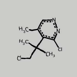 Cc1cnnc(Cl)c1C(C)(C)CCl